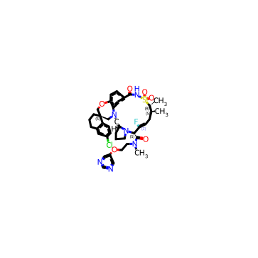 C[C@@H]1[C@@H](C)C/C=C(\F)[C@H](C(=O)N(C)CCOc2cncnc2)N2CCC[C@H]2CN2C[C@@]3(CCCc4cc(Cl)ccc43)COc3ccc(cc32)C(=O)NS1(=O)=O